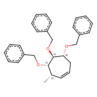 C[C@H]1C=CC[C@@H](OCc2ccccc2)[C@H](OCc2ccccc2)[C@H]1OCc1ccccc1